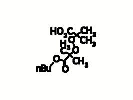 CCCCOC(=O)C(C)(C)OOC(C)(C)C(=O)O